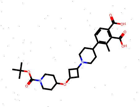 Cc1c(C2CCN(C3CC(OC4CCN(C(=O)OC(C)(C)C)CC4)C3)CC2)ccc(C(=O)O)c1C(=O)O